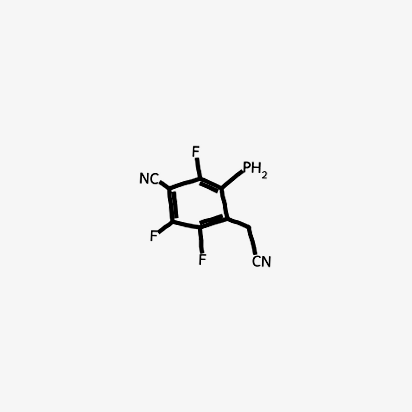 N#CCc1c(F)c(F)c(C#N)c(F)c1P